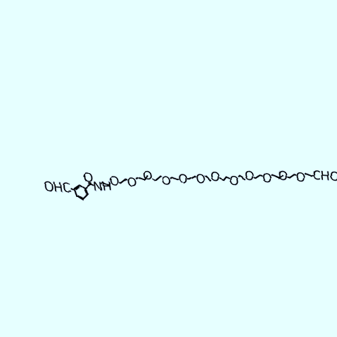 O=CCCOCCOCCOCCOCCOCCOCCOCCOCCOCCOCCOCCOCCNC(=O)c1cccc(C=O)c1